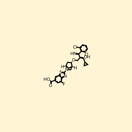 N=C(/C(CO[C@@H]1C[C@@H]2C[C@H]1CN2c1nc2c(F)cc(C(=O)O)cc2s1)=C(\O)C1CC1)c1c(Cl)cccc1Cl